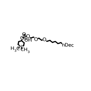 CCCCCCCCCCCCCCCCOCCOCCOP(=O)(O)OC1CC[N+](C)(C)CC1